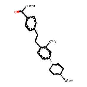 CCCCCCCC(=O)c1ccc(CCc2ccc([C@H]3CC[C@H](CCCCC)CC3)cc2C)cc1